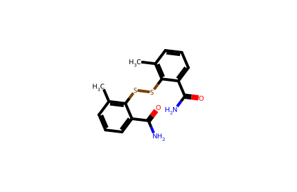 Cc1cccc(C(N)=O)c1SSc1c(C)cccc1C(N)=O